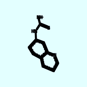 [NH]C(=S)Nc1ccc2cccnc2c1